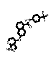 O=C(Nc1ccc(C(F)(F)F)cc1)c1cccc2cc(Oc3ccnc4[nH]ncc34)ccc12